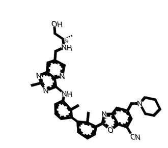 Cc1nc(Nc2cccc(-c3cccc(-c4nc5cc(CN6CCCCC6)cc(C#N)c5o4)c3C)c2C)c2ncc(CN[C@@H](C)CO)cc2n1